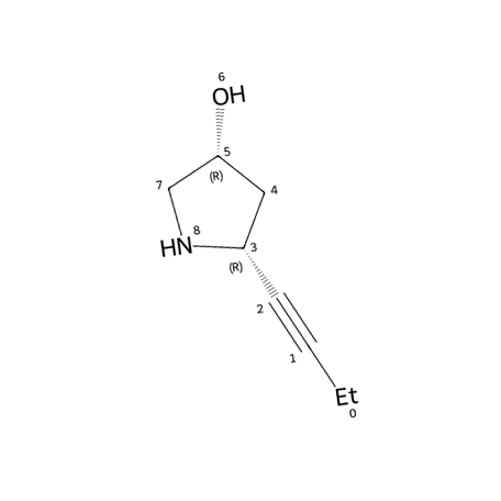 CCC#C[C@H]1C[C@@H](O)CN1